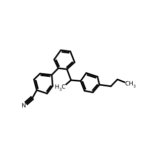 CCCc1ccc(C(C)c2ccccc2-c2ccc(C#N)cc2)cc1